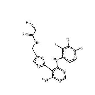 C=CC(=O)NCc1coc(-c2c(N)ncnc2Nc2ccc(Cl)c(Cl)c2F)n1